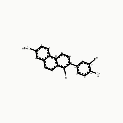 CCCCCCc1ccc2c(ccc3c(F)c(-c4ccc(C#N)c(F)c4)ccc32)c1